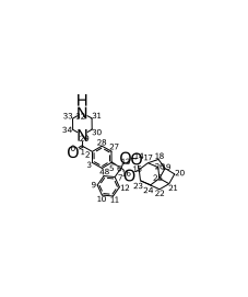 O=C(c1ccc([C@@]2(c3ccccc3)OOC3(O2)C2CC4CC5CC3CC45C2)cc1)N1CCNCC1